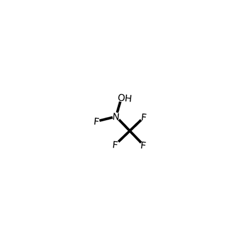 ON(F)C(F)(F)F